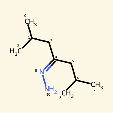 CC(C)CC(CC(C)C)=NN